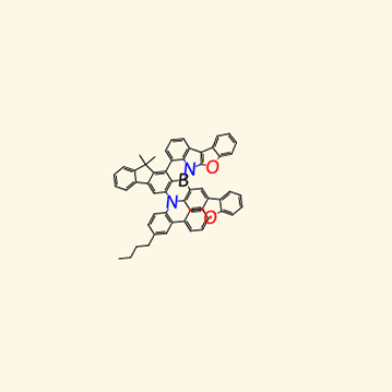 CCCCc1ccc(N2c3cc4oc5ccccc5c4cc3B3c4c2cc2c(c4-c4cccc5c6c7ccccc7oc6n3c45)C(C)(C)c3ccccc3-2)c(-c2ccccc2)c1